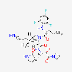 CC1(CC=C=N)[C@@H]2[C@@H](C(=O)N[C@@H](C[C@@H]3CCNC3=O)C(=O)C(=O)N3CCC3)N(C(=O)[C@@H](CCC(F)(F)F)Nc3c(F)cc(F)cc3F)C[C@@H]21